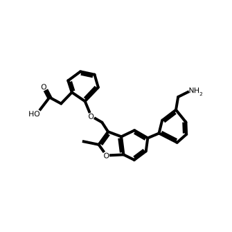 Cc1oc2ccc(-c3cccc(CN)c3)cc2c1COc1ccccc1CC(=O)O